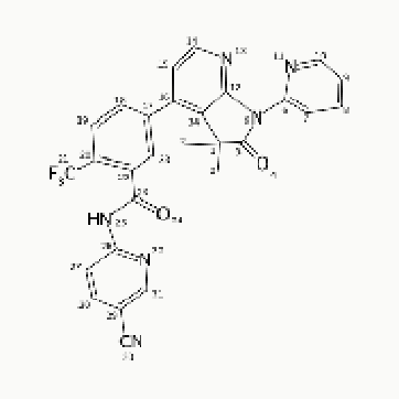 CC1(C)C(=O)N(c2ccccn2)c2nccc(-c3ccc(C(F)(F)F)c(C(=O)Nc4ccc(C#N)cn4)c3)c21